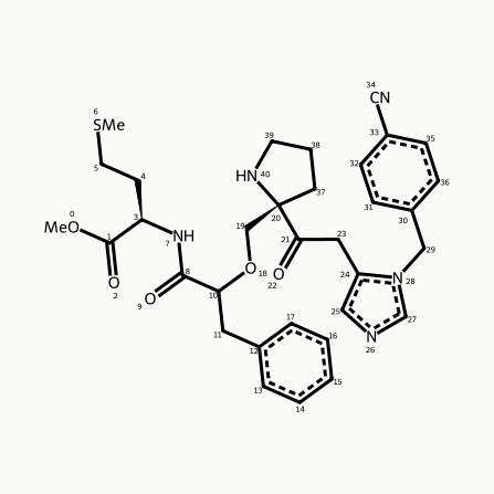 COC(=O)[C@@H](CCSC)NC(=O)C(Cc1ccccc1)OC[C@]1(C(=O)Cc2cncn2Cc2ccc(C#N)cc2)CCCN1